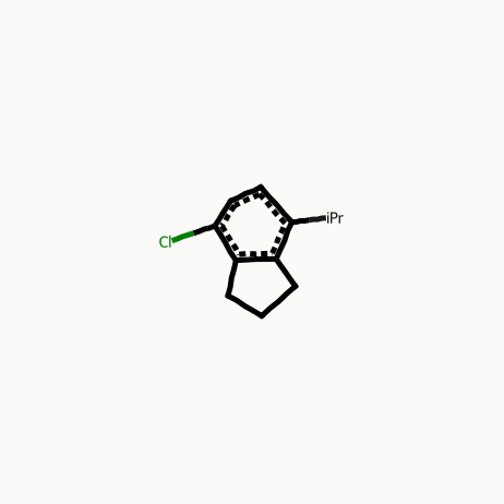 CC(C)c1ccc(Cl)c2c1CCC2